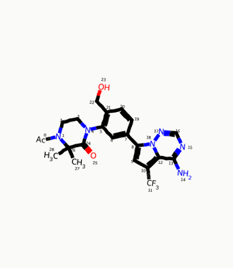 CC(=O)N1CCN(c2cc(-c3cc(C(F)(F)F)c4c(N)ncnn34)ccc2CO)C(=O)C1(C)C